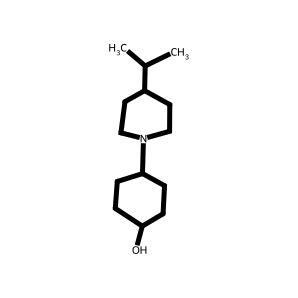 CC(C)C1CCN(C2CCC(O)CC2)CC1